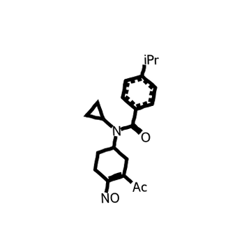 CC(=O)C1=C(N=O)CCC(N(C(=O)c2ccc(C(C)C)cc2)C2CC2)C1